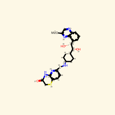 COc1cnc2cccc([C@@H](O)[C@H](O)[C@H]3CC[C@H](NCc4ccc5c(n4)NC(=O)CS5)CC3)c2n1